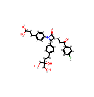 O=C(CC[C@H]1C(=O)N(c2ccc(CCC(O)O)cc2)[C@@H]1c1ccc(CCC(O)(CO)CO)cc1)c1ccc(F)cc1